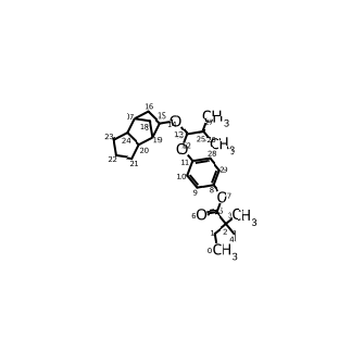 CCC(C)(I)C(=O)Oc1ccc(OC(OC2CC3CC2C2CCCC32)C(C)C)cc1